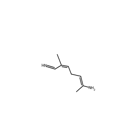 C/C(C=N)=C/C/C=C(\C)N